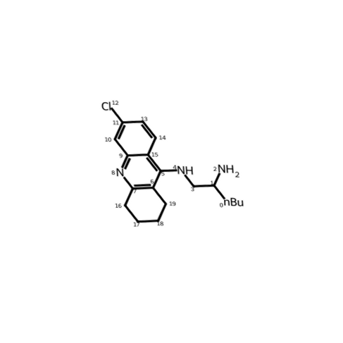 CCCCC(N)CNc1c2c(nc3cc(Cl)ccc13)CCCC2